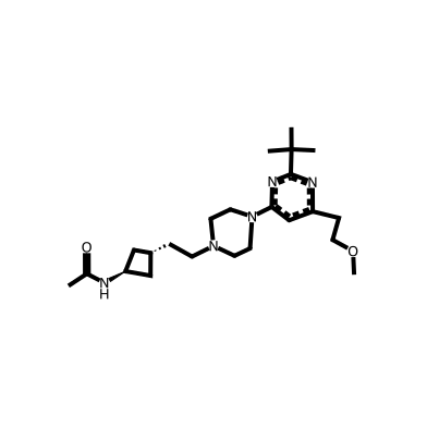 COCCc1cc(N2CCN(CC[C@H]3C[C@H](NC(C)=O)C3)CC2)nc(C(C)(C)C)n1